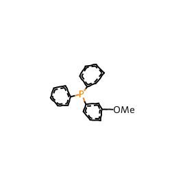 COc1cccc(P(c2ccccc2)c2ccccc2)c1